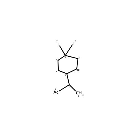 CC(=O)C(C)C1CCC(I)(I)CC1